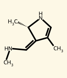 CN/C=C1/C(C)=CN[C@H]1C